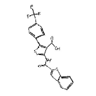 O=C(Nc1csc(-c2ccc(C(F)(F)F)cc2)c1C(=O)O)c1cc2ccccc2s1